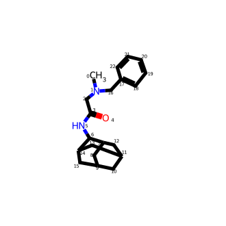 CN(CC(=O)NC1C2CC3CC(C2)CC1C3)Cc1ccccc1